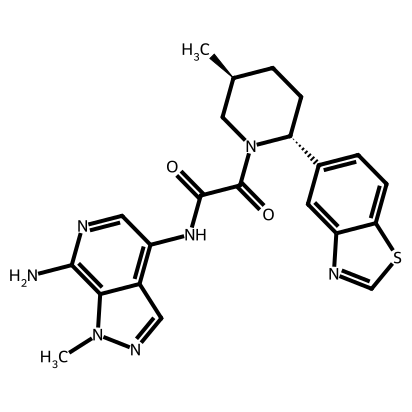 C[C@H]1CC[C@H](c2ccc3scnc3c2)N(C(=O)C(=O)Nc2cnc(N)c3c2cnn3C)C1